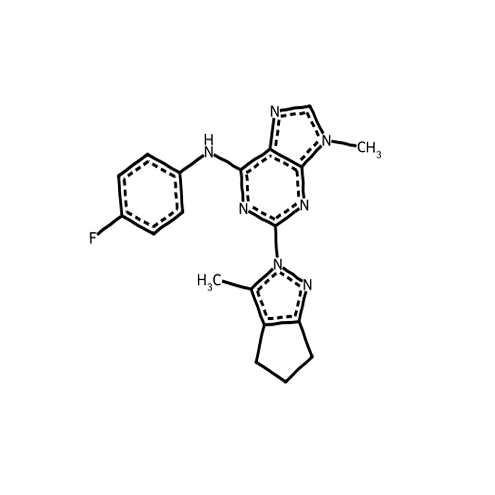 Cc1c2c(nn1-c1nc(Nc3ccc(F)cc3)c3ncn(C)c3n1)CCC2